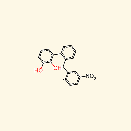 O=[N+]([O-])c1cc[c]c(Cc2ccccc2-c2cccc(O)c2O)c1